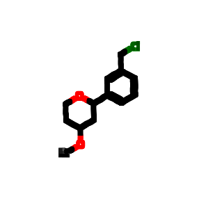 CCOC1CCOC(c2cccc(CCl)c2)C1